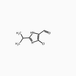 CC(C)c1nc(Cl)c(C=O)[nH]1